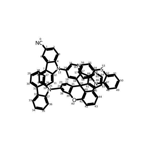 N#Cc1ccc2c(c1)c1ccccc1n2-c1cnc2c(c1)C1(c3ccc(-n4c5ccccc5c5ccccc54)cc3Oc3cccc(N4c5ccccc5Sc5ccccc54)c31)c1cccnc1-2